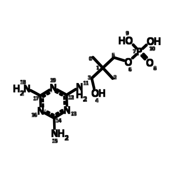 CC(C)(CO)COP(=O)(O)O.Nc1nc(N)nc(N)n1